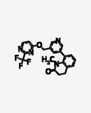 CN1C(=O)CCc2cccc(-c3cncc(COc4ccnc(C(F)(F)F)n4)c3)c21